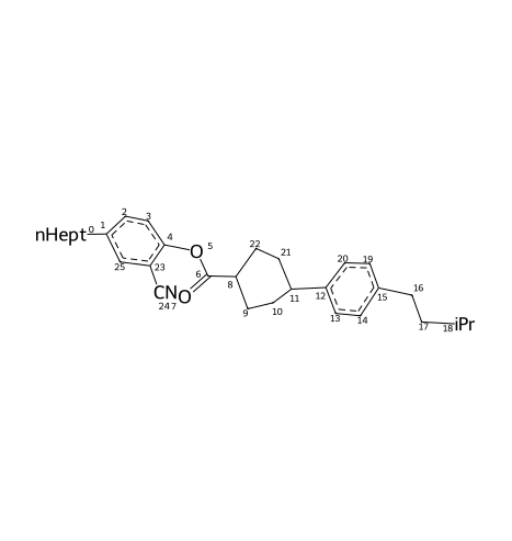 CCCCCCCc1ccc(OC(=O)C2CCC(c3ccc(CCC(C)C)cc3)CC2)c(C#N)c1